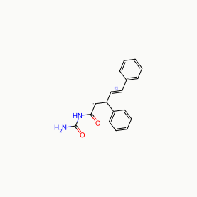 NC(=O)NC(=O)[CH]C(/C=C/c1ccccc1)c1ccccc1